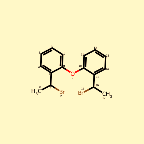 CC(Br)c1ccccc1Oc1ccccc1C(C)Br